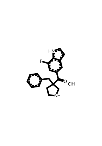 Cl.O=C(c1cc(F)c2[nH]ccc2c1)C1(Cc2ccccc2)CCNC1